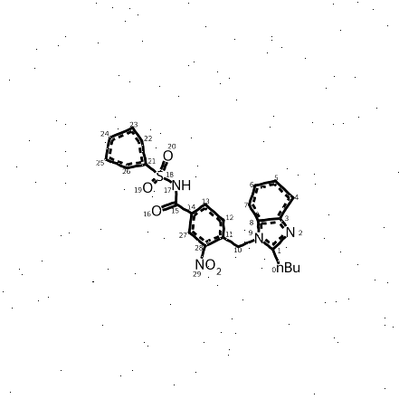 CCCCc1nc2ccccc2n1Cc1ccc(C(=O)NS(=O)(=O)c2ccccc2)cc1[N+](=O)[O-]